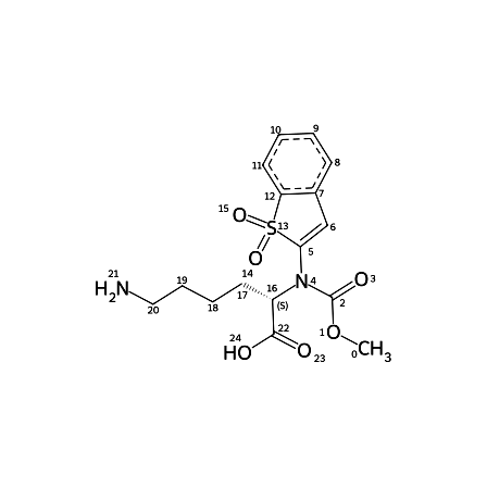 COC(=O)N(C1=Cc2ccccc2S1(=O)=O)[C@@H](CCCCN)C(=O)O